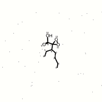 CCCCC(CC)C1(C(=O)O)OO1